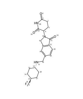 O=C1CCC(N2Cc3cc(CN[C@H]4CC[C@H](C(F)(F)F)CC4)ccc3C2=O)C(=O)N1